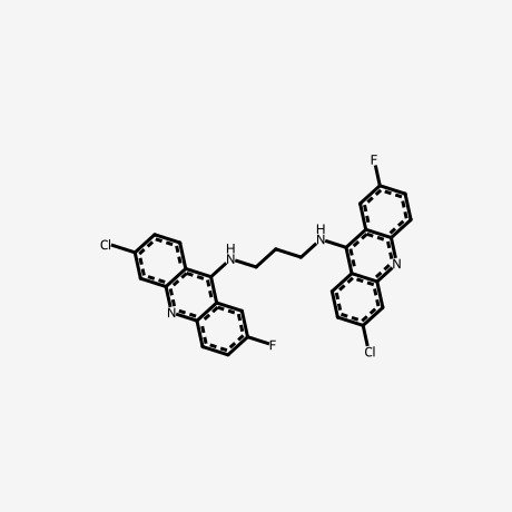 Fc1ccc2nc3cc(Cl)ccc3c(NCCCNc3c4ccc(Cl)cc4nc4ccc(F)cc34)c2c1